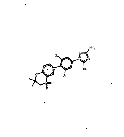 CC1(C)CS(=O)(=O)c2cc(-c3c(Cl)cc(-n4nc(N)nc4N)cc3Cl)ccc2O1